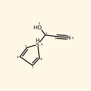 N#CC(O)[SH]1C=CC=C1